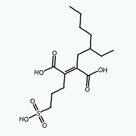 CCCCC(CC)CC(C(=O)O)=C(CCCS(=O)(=O)O)C(=O)O